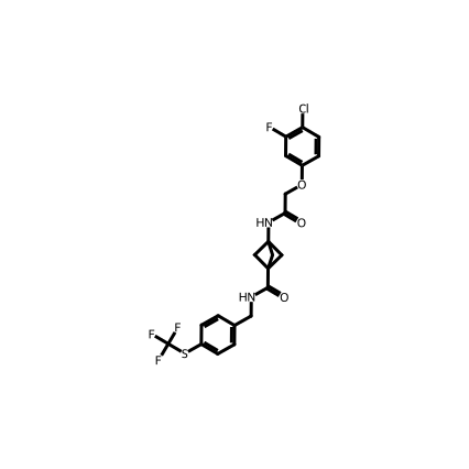 O=C(COc1ccc(Cl)c(F)c1)NC12CC(C(=O)NCc3ccc(SC(F)(F)F)cc3)(C1)C2